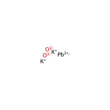 [K+].[K+].[O-2].[O-2].[Pb+2]